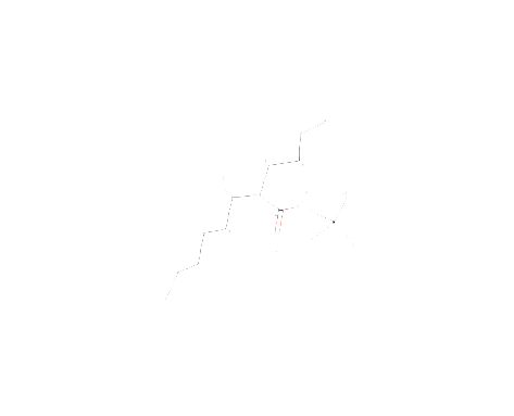 CCCCCC(O)C(CCCC)C(=O)OC(C)(C)C